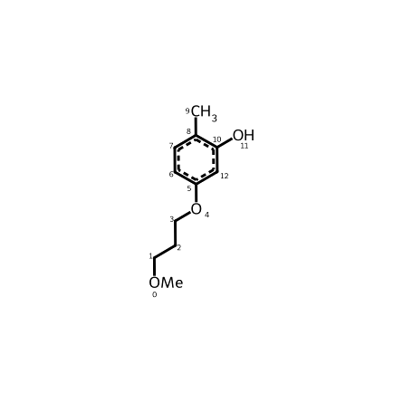 COCCCOc1ccc(C)c(O)c1